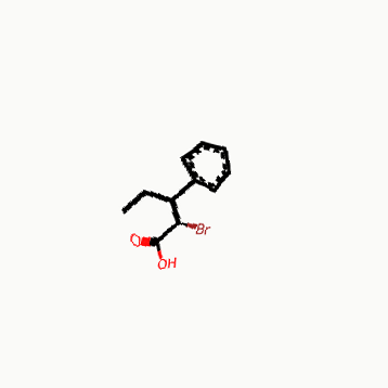 CCC(c1ccccc1)[C@@H](Br)C(=O)O